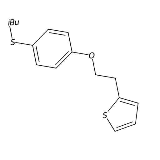 CCC(C)Sc1ccc(OCCc2cccs2)cc1